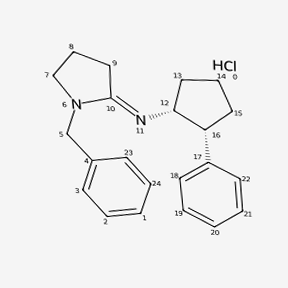 Cl.c1ccc(CN2CCCC2=N[C@@H]2CCC[C@@H]2c2ccccc2)cc1